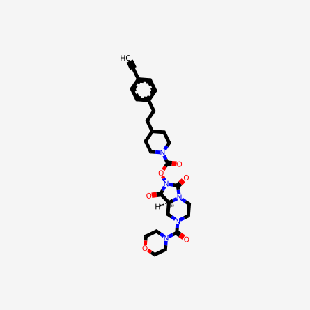 C#Cc1ccc(CCC2CCN(C(=O)ON3C(=O)[C@@H]4CN(C(=O)N5CCOCC5)CCN4C3=O)CC2)cc1